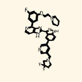 Fc1cc(OCCN2CCCC2)cc(-c2nccc3[nH]c(-c4n[nH]c5ccc(-c6cncc(CN7CCC(F)(F)C7)c6)cc45)nc23)c1